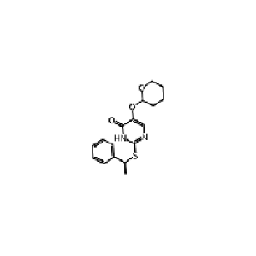 CC(Sc1ncc(OC2CCCCO2)c(=O)[nH]1)c1ccccc1